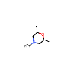 CCCN1C[C@H](C)O[C@@H](C)C1